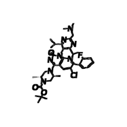 CC(C)c1nc(CN(C)C)nc(C(C)C)c1-n1c(=O)nc(N2C[C@@H](C)N(C(=O)OC(C)(C)C)C[C@@H]2C)c2cc(Cl)c(-c3ccccc3F)nc21